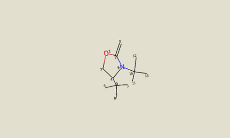 C=C1OCC(C(C)(C)C)N1C(C)(C)C